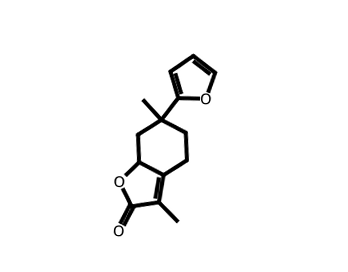 CC1=C2CCC(C)(c3ccco3)CC2OC1=O